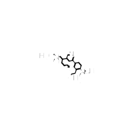 C=CCc1cc(-c2cncc(C(/C=C\C=O)=C/N(C)CC)c2)ccc1N(C)C